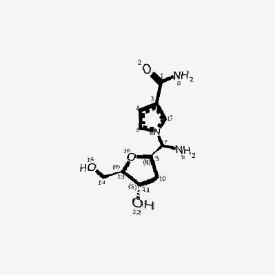 NC(=O)c1ccn(C(N)[C@H]2C[C@H](O)[C@@H](CO)O2)c1